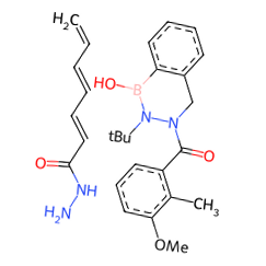 C=CC=CC=CC(=O)NN.COc1cccc(C(=O)N2Cc3ccccc3B(O)N2C(C)(C)C)c1C